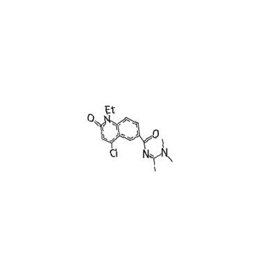 CCn1c(=O)cc(Cl)c2cc(C(=O)N=C(C)N(C)C)ccc21